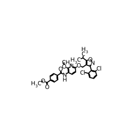 COC(=O)c1ccc(C(=O)Nc2ccc(OCc3c(-c4c(Cl)cccc4Cl)noc3C(C)C)nc2OC)cc1